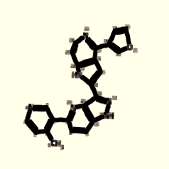 Cc1ccncc1-c1ccc2[nH]nc(-c3cc4c(-c5ccoc5)nccc4[nH]3)c2n1